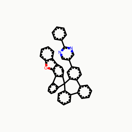 c1ccc(-c2ncc(-c3ccc4c(c3)C3(c5ccccc5-c5ccccc5-4)c4ccccc4-c4c3ccc3c4oc4ccccc43)cn2)cc1